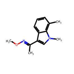 CON=C(C)c1cn(C)c2c(C)cccc12